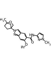 CC(C)Oc1cc2nn(C34CCC(C)(C3)OC4)cc2cc1C(=O)Nc1ccn(C)n1